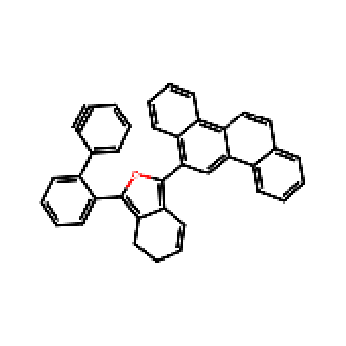 c1cccc(-c2ccccc2-c2oc(-c3cc4c5ccccc5ccc4c4ccccc34)c3c2CCC=C3)c#1